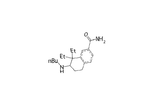 CCCCNC1CCc2ccc(C(N)=O)cc2C1(CC)CC